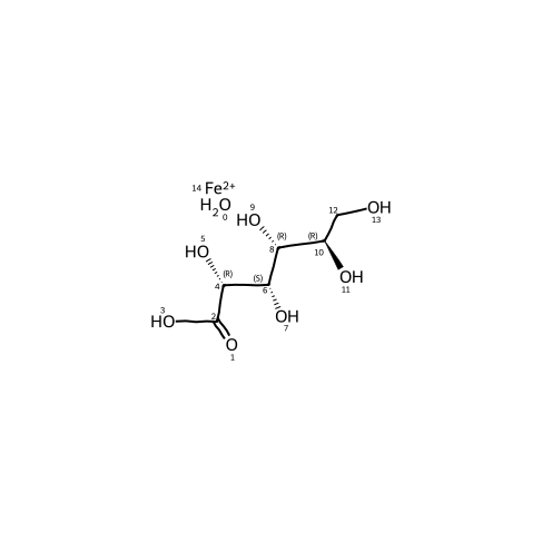 O.O=C(O)[C@H](O)[C@@H](O)[C@H](O)[C@H](O)CO.[Fe+2]